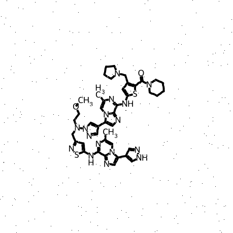 COCCN(Cc1cc(Nc2nc(C)cn3c(-c4cn[nH]c4)cnc23)sn1)n1cc(-c2cnc3c(Nc4cc(CN5CCCC5)c(C(=O)N5CCCCC5)s4)nc(C)cn23)cn1